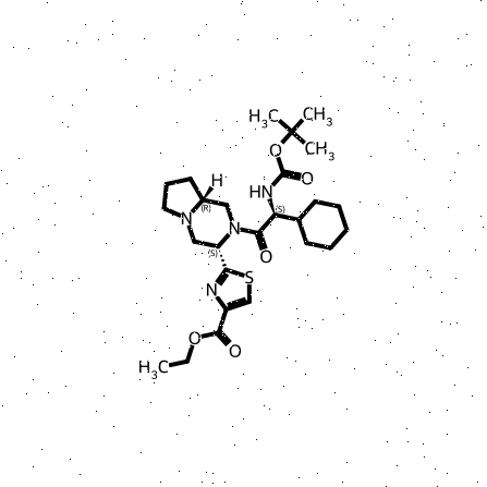 CCOC(=O)c1csc([C@@H]2CN3CCC[C@@H]3CN2C(=O)[C@@H](NC(=O)OC(C)(C)C)C2CCCCC2)n1